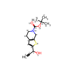 C#CC(O)c1cc2c(s1)CN(C(=O)OC(C)(C)C)CC2